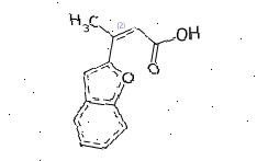 C/C(=C/C(=O)O)c1cc2ccccc2o1